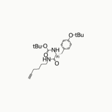 C#CCCCCNC(=O)[C@@H](Cc1ccc(OC(C)(C)C)cc1)NC(=O)OC(C)(C)C